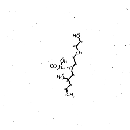 C=CCC(O)COCCOCCO.O=C(O)O